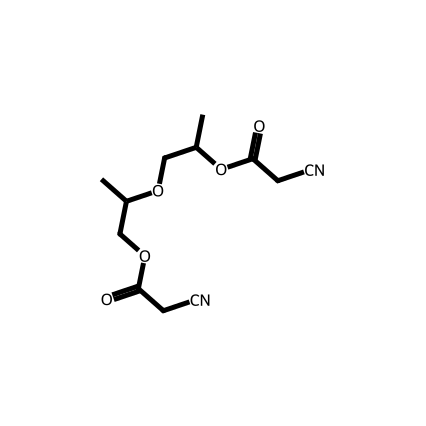 CC(COC(=O)CC#N)OCC(C)OC(=O)CC#N